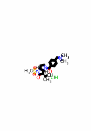 CC(C)[C@H]1C(=O)N(S(C)(=O)=O)[C@H]2CCN(C(=O)c3ccc(CN(C)C)cc3)[C@H]12.Cl